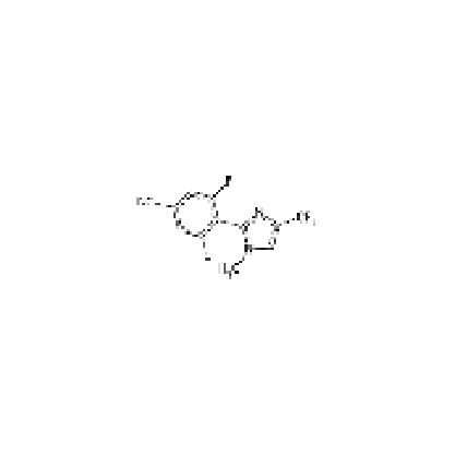 Cn1cc(C(F)(F)F)nc1-c1c(F)cc(C#N)cc1F